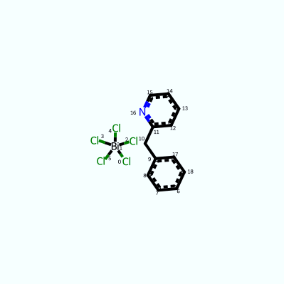 [Cl][Bi]([Cl])([Cl])([Cl])[Cl].c1ccc(Cc2ccccn2)cc1